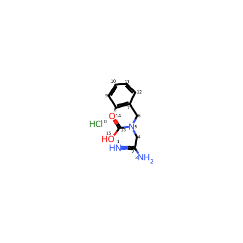 Cl.N=C(N)CN(Cc1ccccc1)C(=O)O